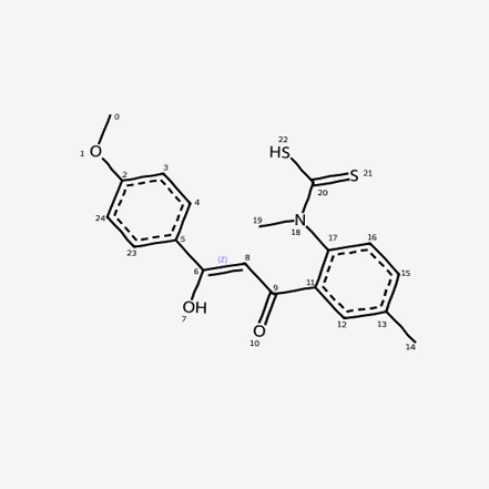 COc1ccc(/C(O)=C/C(=O)c2cc(C)ccc2N(C)C(=S)S)cc1